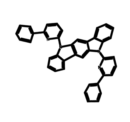 c1ccc(-c2cccc(-n3c4ccccc4c4cc5c(cc43)c3ccccc3n5-c3cccc(-c4ccccc4)n3)n2)cc1